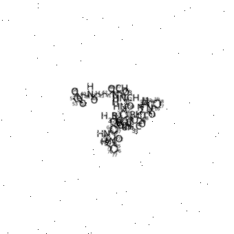 BC(B)(Oc1cc2c(cc1OC)C(=O)N1c3ccccc3C[C@H]1C=N2)c1cc(NC(=O)C(C)NC(=O)C(C)NC(=O)CCCCC(=O)NCCN2C(=O)C=CC2=O)cc(C(B)(B)Oc2cc3c(cc2OC)C(=O)N2c4ccccc4C[C@H]2CN3)c1